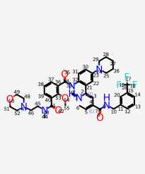 C=N/C(=C\C(=C/C)C(=O)NCc1cccc(C(F)(F)F)c1)c1cc(N2CCCCC2)ccc1NC(=O)c1cccc(C(=O)N(C)CCN2CCOCC2)c1OC